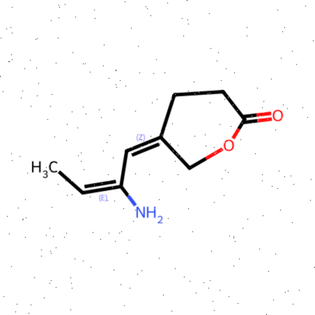 C/C=C(N)\C=C1\CCC(=O)OC1